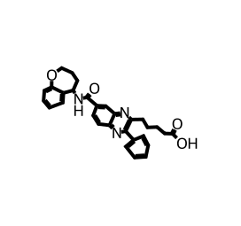 O=C(O)CCCCc1nc2cc(C(=O)NC3CCCOc4ccccc43)ccc2nc1-c1ccccc1